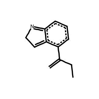 C=C(CC)c1cccc2c1=CCN=2